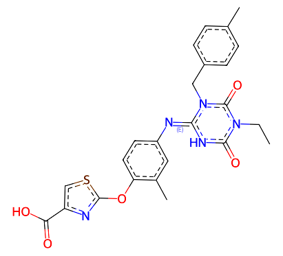 CCn1c(=O)[nH]/c(=N\c2ccc(Oc3nc(C(=O)O)cs3)c(C)c2)n(Cc2ccc(C)cc2)c1=O